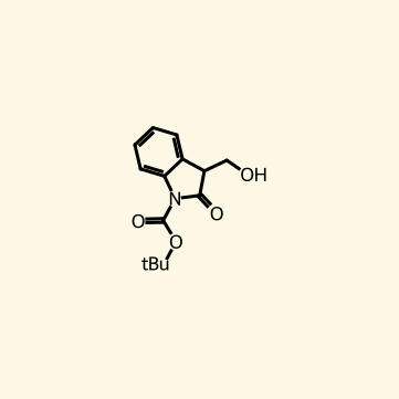 CC(C)(C)OC(=O)N1C(=O)C(CO)c2ccccc21